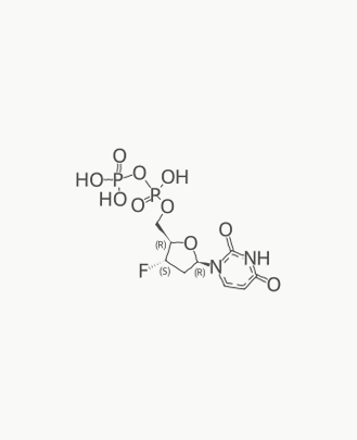 O=c1ccn([C@H]2C[C@H](F)[C@@H](COP(=O)(O)OP(=O)(O)O)O2)c(=O)[nH]1